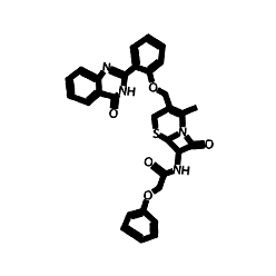 CC1=C(COc2ccccc2-c2nc3ccccc3c(=O)[nH]2)CSC2C(NC(=O)COc3ccccc3)C(=O)N12